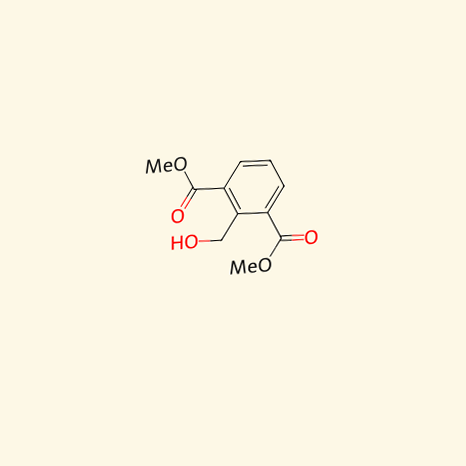 COC(=O)c1cccc(C(=O)OC)c1CO